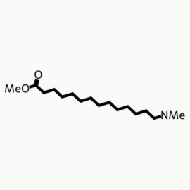 CNCCCCCCCCCCCCCC(=O)OC